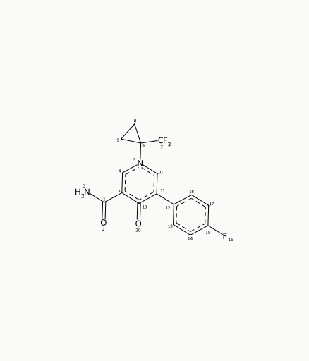 NC(=O)c1cn(C2(C(F)(F)F)CC2)cc(-c2ccc(F)cc2)c1=O